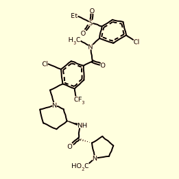 CCS(=O)(=O)c1ccc(Cl)cc1N(C)C(=O)c1cc(Cl)c(CN2CCC[C@H](NC(=O)[C@@H]3CCCN3C(=O)O)C2)c(C(F)(F)F)c1